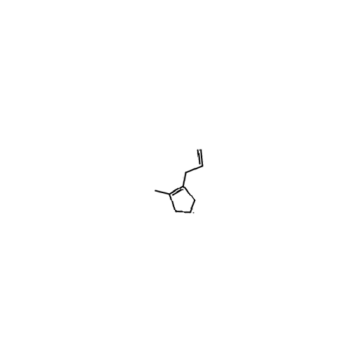 C=CCC1=C(C)C[CH]C1